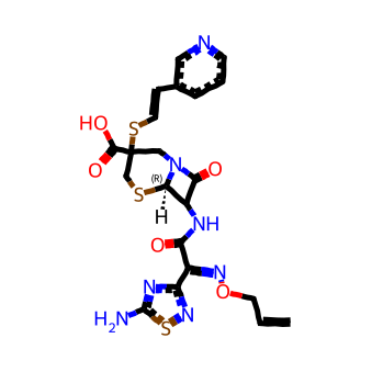 C=CCON=C(C(=O)NC1C(=O)N2CC(SC=Cc3cccnc3)(C(=O)O)CS[C@H]12)c1nsc(N)n1